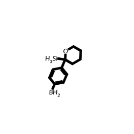 Bc1ccc(C2([SiH3])CCCCO2)cc1